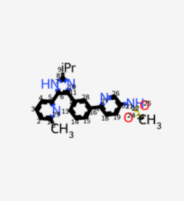 Cc1cccc(-c2[nH]c(C(C)C)nc2-c2cccc(-c3ccc(NS(C)(=O)=O)cn3)c2)n1